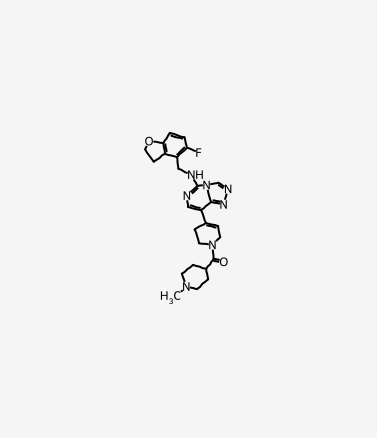 CN1CCC(C(=O)N2CC=C(c3cnc(NCc4c(F)ccc5c4CCO5)n4cnnc34)CC2)CC1